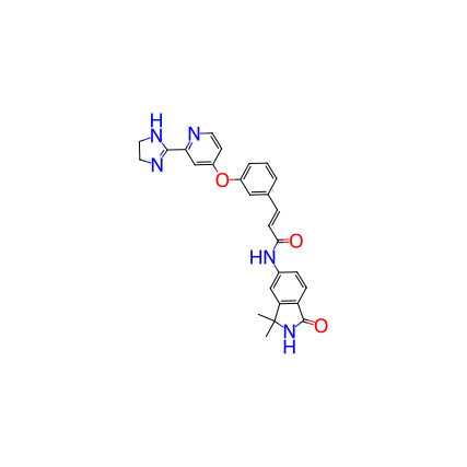 CC1(C)NC(=O)c2ccc(NC(=O)/C=C/c3cccc(Oc4ccnc(C5=NCCN5)c4)c3)cc21